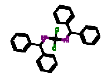 [Cl][Pd]([Cl])([PH]C(c1ccccc1)c1ccccc1)[PH]C(c1ccccc1)c1ccccc1